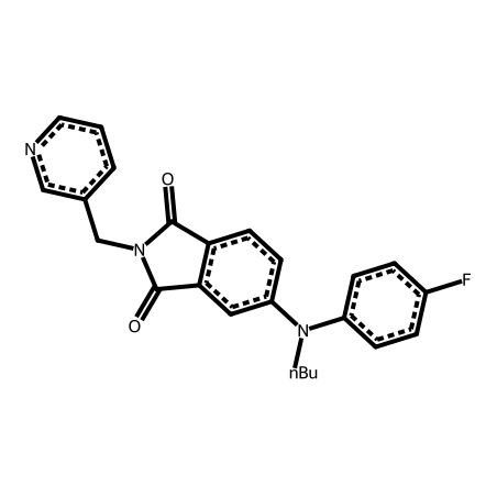 CCCCN(c1ccc(F)cc1)c1ccc2c(c1)C(=O)N(Cc1cccnc1)C2=O